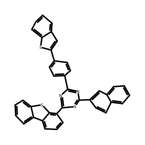 c1ccc2cc(-c3nc(-c4ccc(-c5cc6ccccc6s5)cc4)nc(-c4cccc5c4sc4ccccc45)n3)ccc2c1